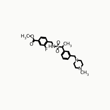 COC(=O)c1ccc(CNS(=O)(=O)C(C)c2cccc(CN3CCN(C)CC3)c2)c(F)c1